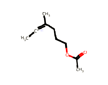 [CH2-]/[C+]=C(/C)CCCOC(C)=O